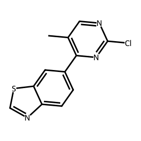 Cc1cnc(Cl)nc1-c1ccc2ncsc2c1